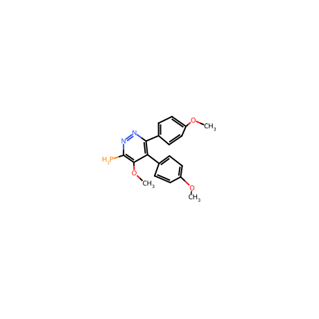 COc1ccc(-c2nnc(P)c(OC)c2-c2ccc(OC)cc2)cc1